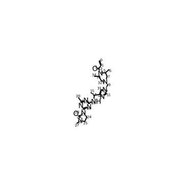 C=CC(=O)N1C(C)CN(Cn2cnc([C@H](C)Nc3nc(C)nc(N4CCN(C)C4=O)n3)c2)CC1C